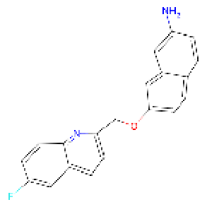 Nc1ccc2ccc(OCc3ccc4cc(F)ccc4n3)cc2c1